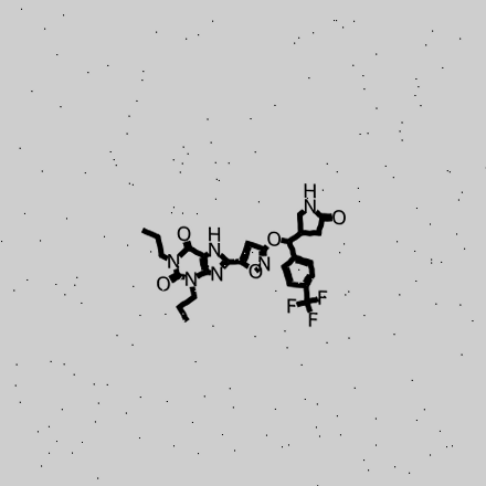 CCCn1c(=O)c2[nH]c(-c3cc(OC(c4ccc(C(F)(F)F)cc4)C4CNC(=O)C4)no3)nc2n(CCC)c1=O